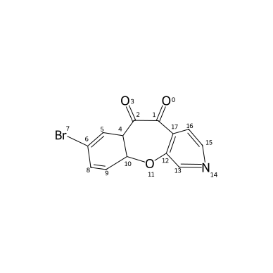 O=C1C(=O)C2C=C(Br)C=CC2Oc2cnccc21